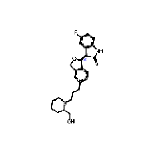 O=C1Nc2ccc(F)cc2/C1=C1\OCc2cc(CCCN3CCCCC3CO)ccc21